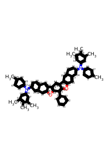 Cc1ccc(N(c2cc(C)c(C)c(C)c2)c2ccc3cc4c(cc3c2)oc2c(-c3ccccc3)c3oc5cc6cc(N(c7ccc(C)cc7)c7cc(C)c(C)c(C)c7)ccc6cc5c3cc24)cc1